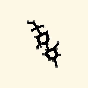 CCC(C)(C)c1ccc(-c2ccc(C)cc2C)[n+](C)c1